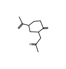 C=C(C)C1CCC(=C)C(CC(C)=O)C1